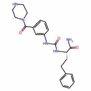 NC(=O)[C@H](CCc1ccccc1)NC(=O)Nc1cccc(C(=O)N2CCNCC2)c1